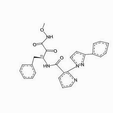 CONC(=O)C(=O)[C@H](Cc1ccccc1)NC(=O)c1cccnc1-n1ccc(-c2ccccc2)n1